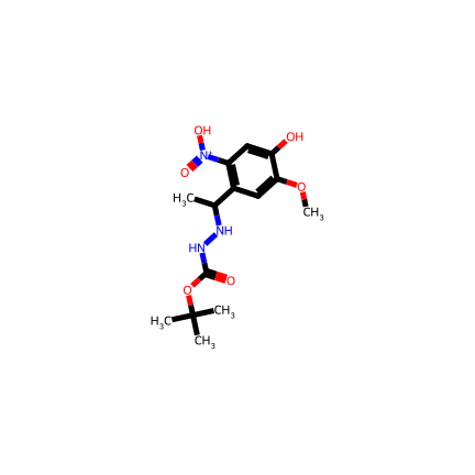 COc1cc(C(C)NNC(=O)OC(C)(C)C)c([N+](=O)O)cc1O